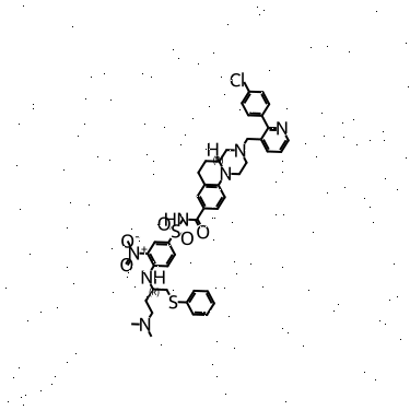 CN(C)CC[C@H](CSc1ccccc1)Nc1ccc(S(=O)(=O)NC(=O)c2ccc3c(c2)CC[C@@H]2CN(Cc4cccnc4-c4ccc(Cl)cc4)CCN32)cc1[N+](=O)[O-]